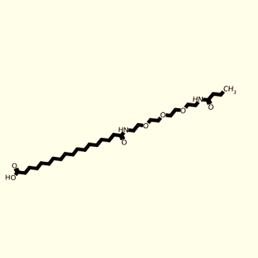 CCCC(=O)NCCOCCOCCOCCNC(=O)CCCCCCCCCCCCCCCCC(=O)O